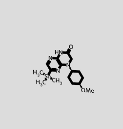 CO[C@H]1CC[C@@H](N2CC(=O)Nc3nc[c]([Sn]([CH3])([CH3])[CH3])nc32)CC1